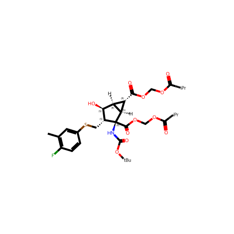 Cc1cc(SC[C@@H]2[C@@H](O)[C@H]3[C@H](C(=O)OCOC(=O)C(C)C)[C@H]3[C@]2(NC(=O)OC(C)(C)C)C(=O)OCOC(=O)C(C)C)ccc1F